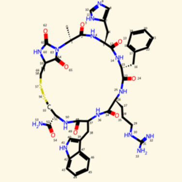 C[C@@H]1C(=O)N[C@@H](Cc2cnc[nH]2)C(=O)N[C@H](Cc2ccccc2)C(=O)N[C@@H](CCCNC(=N)N)C(=O)NC(Cc2c[nH]c3ccccc23)C(=O)N[C@H](C(N)=O)CSSC[C@@H]2NC(=O)N1C2=O